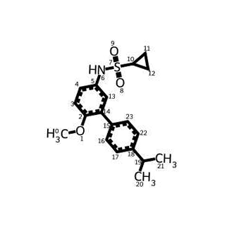 COc1ccc(NS(=O)(=O)C2CC2)cc1-c1ccc(C(C)C)cc1